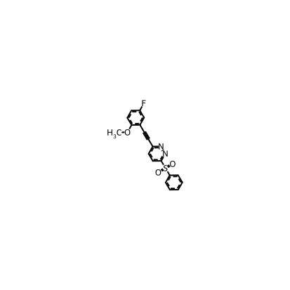 COc1ccc(F)cc1C#Cc1ccc(S(=O)(=O)c2ccccc2)nn1